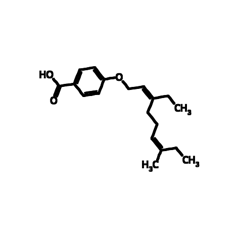 CCC(C)=CCCC(=CCOc1ccc(C(=O)O)cc1)CC